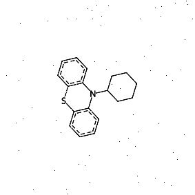 c1ccc2c(c1)Sc1ccccc1N2C1CCCCC1